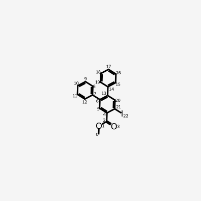 COC(=O)c1cc(-c2ccccc2)c(-c2ccccc2)cc1I